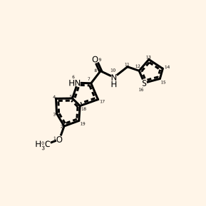 COc1ccc2[nH]c(C(=O)NCc3cccs3)cc2c1